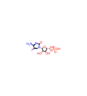 Nc1nc(=O)n([C@@H]2O[C@H](COP(=O)(O)O)[C@@H](O)[C@H]2O)cc1I